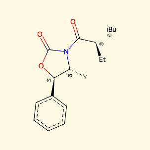 CC[C@H](C)[C@@H](CC)C(=O)N1C(=O)O[C@H](c2ccccc2)[C@H]1C